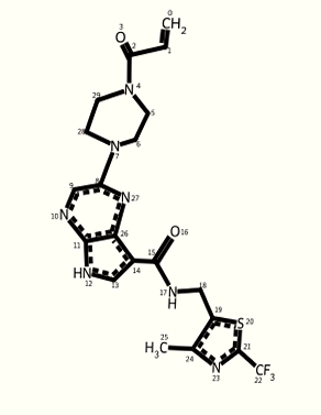 C=CC(=O)N1CCN(c2cnc3[nH]cc(C(=O)NCc4sc(C(F)(F)F)nc4C)c3n2)CC1